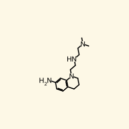 CN(C)CCNCCN1CCCc2ccc(N)cc21